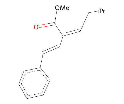 COC(=O)C(C=Cc1ccccc1)=CCC(C)C